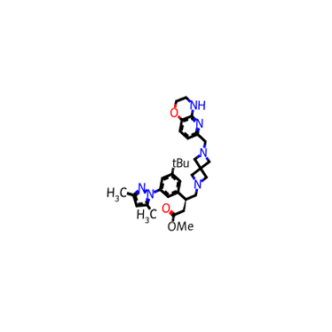 COC(=O)C[C@H](CN1CC2(CN(Cc3ccc4c(n3)NCCO4)C2)C1)c1cc(-n2nc(C)cc2C)cc(C(C)(C)C)c1